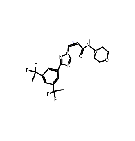 O=C(/C=C\n1cnc(-c2cc(C(F)(F)F)cc(C(F)(F)F)c2)n1)NN1CCOCC1